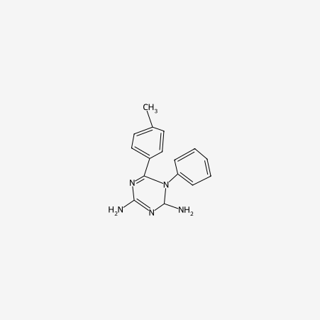 Cc1ccc(C2=NC(N)=NC(N)N2c2ccccc2)cc1